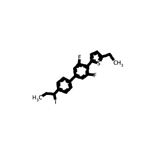 CCc1ccc(-c2c(F)cc(-c3ccc(C(I)CC)cc3)cc2F)s1